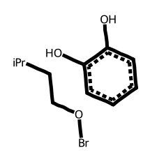 CC(C)CCOBr.Oc1ccccc1O